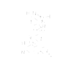 CCN(CC)c1ccc2c(-c3ccc(S(=O)(=O)Nc4cccc(N)c4S(=O)(=O)O)cc3S(=O)(=O)O)c3ccc(N(CC)CC)cc3[o+]c2c1